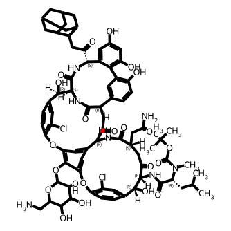 CC(C)C[C@H](C(=O)N[C@H]1C(=O)C[C@@H](CC(N)=O)C(=O)N[C@H]2C(=O)C[C@H]3C(=O)N[C@H](C(=O)N[C@H](C(=O)CC4C5CC6CC(C5)CC4C6)c4cc(O)cc(O)c4-c4cc3ccc4O)[C@H](O)c3ccc(c(Cl)c3)Oc3cc2cc(c3OC2OC(CN)C(O)C(O)C2O)Oc2ccc(cc2Cl)[C@H]1O)N(C)C(=O)OC(C)(C)C